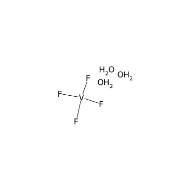 O.O.O.[F][V]([F])([F])[F]